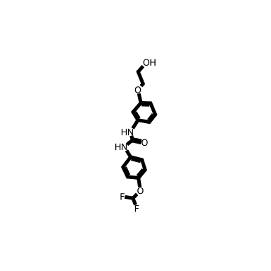 O=C(Nc1ccc(OC(F)F)cc1)Nc1cccc(OCCO)c1